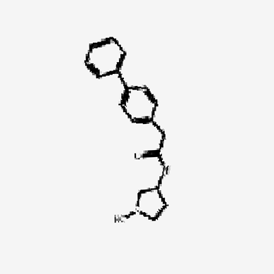 N#CN1CCC(NC(=O)Cc2ccc(-c3ccccc3)cc2)C1